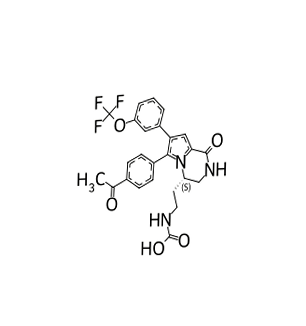 CC(=O)c1ccc(-c2c(-c3cccc(OC(F)(F)F)c3)cc3n2[C@@H](CCNC(=O)O)CNC3=O)cc1